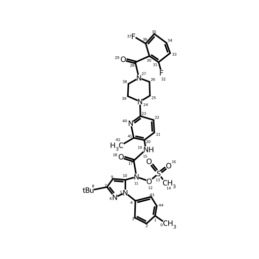 Cc1ccc(-n2nc(C(C)(C)C)cc2N(OS(C)(=O)=O)C(=O)Nc2ccc(N3CCN(C(=O)c4c(F)cccc4F)CC3)nc2C)cc1